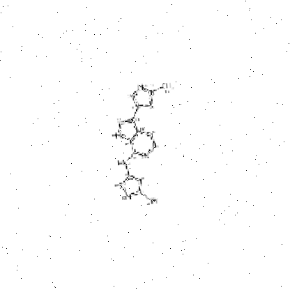 CC(C)c1cc(Nc2nccn3c(-c4cnn(C)c4)cnc23)sn1